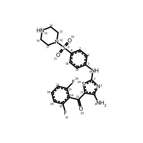 Nc1nc(Nc2ccc(S(=O)(=O)N3CCNCC3)cc2)sc1C(=O)c1c(F)cccc1F